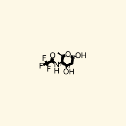 C[C@H]1O[C@H](O)C[C@@H](O)[C@H]1NC(=O)C(F)(F)F